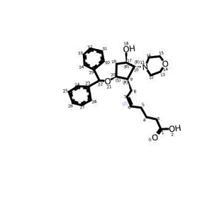 O=C(O)CCC/C=C\C[C@@H]1[C@@H](N2CCOCC2)[C@H](O)C[C@@H]1OC(c1ccccc1)c1ccccc1